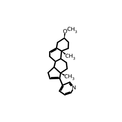 CO[C@H]1CC[C@@]2(C)C(=CCC3C2CC[C@]2(C)C(c4cccnc4)=CCC32)C1